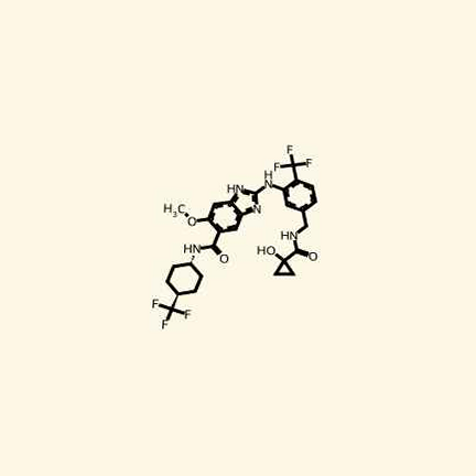 COc1cc2[nH]c(Nc3cc(CNC(=O)C4(O)CC4)ccc3C(F)(F)F)nc2cc1C(=O)N[C@H]1CC[C@H](C(F)(F)F)CC1